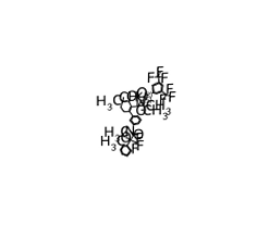 COc1ccc(N(C)C(=O)C(OC)(c2ccccc2)C(F)(F)F)cc1C1=C(CN2C(=O)O[C@H](c3cc(C(F)(F)F)cc(C(F)(F)F)c3)[C@@H]2C)CC(C)(C)CC1